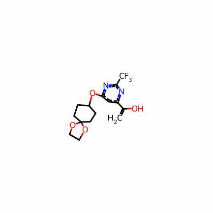 C=C(O)c1cc(OC2CCC3(CC2)OCCO3)nc(C(F)(F)F)n1